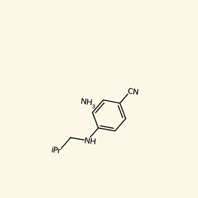 CC(C)CNc1ccc(C#N)cc1.N